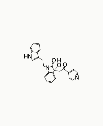 O=C(CC1(O)C(=O)N(CCc2c[nH]c3ccccc23)c2ccccc21)c1ccncc1